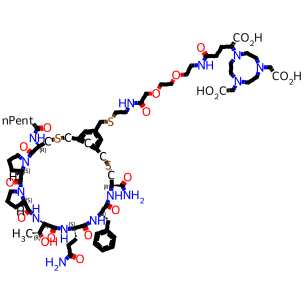 CCCCCC(=O)N[C@H]1CSCc2cc(CSCCNC(=O)COCCOCCNC(=O)CCC(C(=O)O)N3CCN(CC(=O)O)CCN(CC(=O)O)CC3)cc(c2)CSC[C@@H](C(N)=O)NC(=O)[C@H](Cc2ccccc2)NC(=O)[C@H](CCC(N)=O)NC(=O)[C@H]([C@@H](C)O)NC(=O)[C@@H]2CCCN2C(=O)[C@@H]2CCCN2C1=O